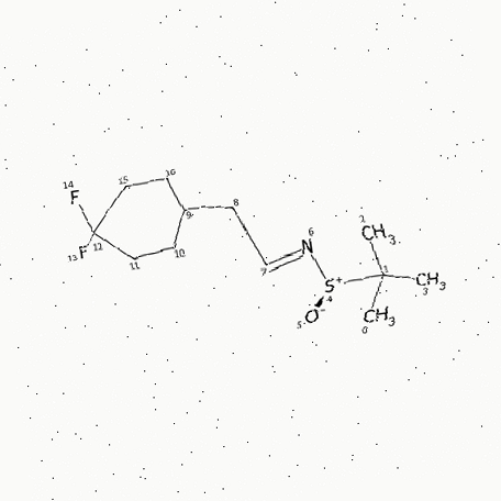 CC(C)(C)[S@@+]([O-])/N=C/CC1CCC(F)(F)CC1